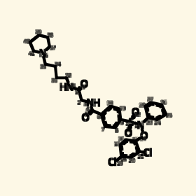 O=C(CNC(=O)c1ccc(S(=O)(=O)N(Oc2ccc(Cl)cc2Cl)c2ccccc2)cc1)NCCCCN1CCCCC1